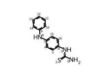 NC(=S)Nc1ccc(Nc2ccccc2)cc1